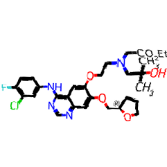 CCOC(=O)CN(CCOc1cc2c(Nc3ccc(F)c(Cl)c3)ncnc2cc1OC[C@H]1CCCO1)CC(C)(C)O